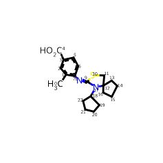 Cc1cc(C(=O)O)ccc1N=C1SCC2(CCCC2)N1C1CCCC1